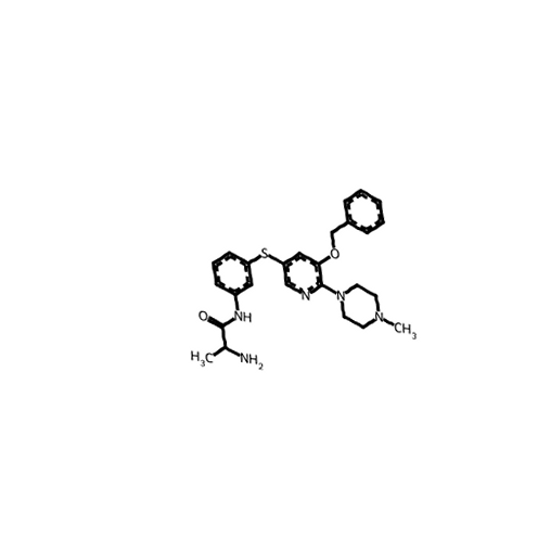 CC(N)C(=O)Nc1cccc(Sc2cnc(N3CCN(C)CC3)c(OCc3ccccc3)c2)c1